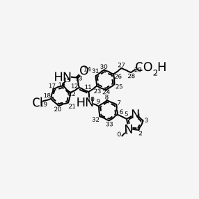 Cn1ccnc1-c1ccc(NC(=C2C(=O)Nc3cc(Cl)ccc32)c2ccc(CCC(=O)O)cc2)cc1